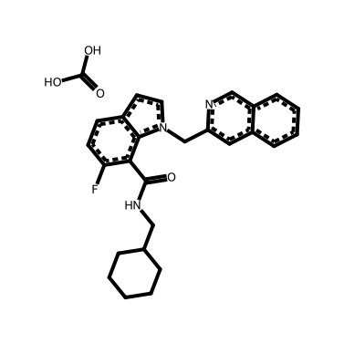 O=C(NCC1CCCCC1)c1c(F)ccc2ccn(Cc3cc4ccccc4cn3)c12.O=C(O)O